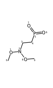 CON(CCP(=O)=O)OC